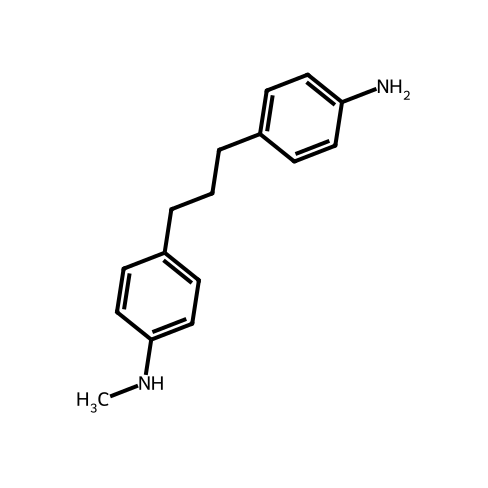 CNc1ccc(CCCc2ccc(N)cc2)cc1